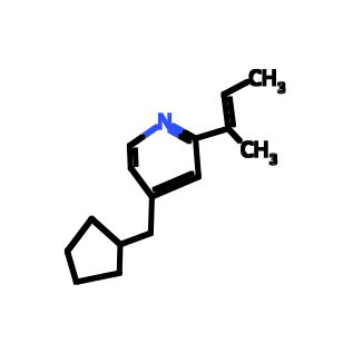 C/C=C(\C)c1cc(CC2CCCC2)ccn1